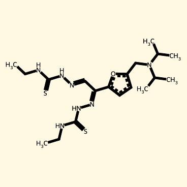 CCNC(=S)N/N=C/C(=N\NC(=S)NCC)c1ccc(CN(C(C)C)C(C)C)o1